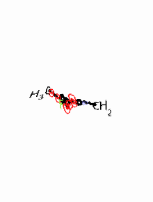 C=CCC/C=C/C1CCC(OC(=O)c2cc3ccc(OCCCOCC)c(F)c3c(=O)o2)CC1